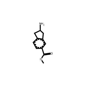 COC(=O)c1ccc2c(c1)CC(N)C2